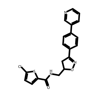 O=C(NCC1CC(c2ccc(-c3cccnc3)cc2)=NO1)c1ccc(Cl)s1